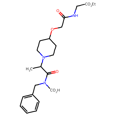 CCOC(=O)CNC(=O)COC1CCN(C(C)C(=O)N(Cc2ccccc2)C(=O)O)CC1